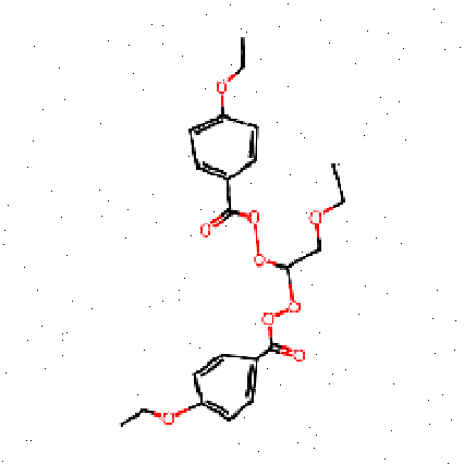 [CH2]COC[C](OOC(=O)c1ccc(OCC)cc1)OOC(=O)c1ccc(OCC)cc1